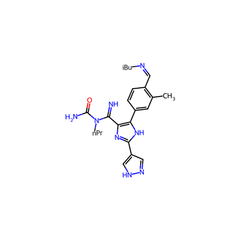 CCCN(C(=N)c1nc(-c2cn[nH]c2)[nH]c1-c1ccc(/C=N\C(C)CC)c(C)c1)C(N)=O